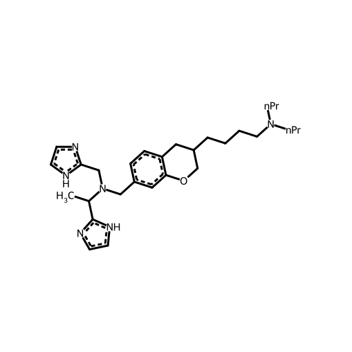 CCCN(CCC)CCCCC1COc2cc(CN(Cc3ncc[nH]3)C(C)c3ncc[nH]3)ccc2C1